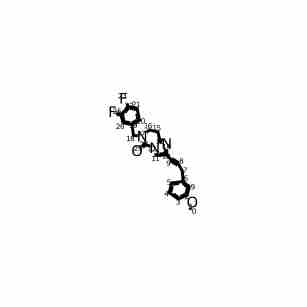 COc1cccc(CC#Cc2cn3c(n2)CCN(Cc2ccc(F)c(F)c2)C3=O)c1